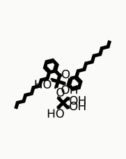 CCCCCCCCCc1ccccc1OC(c1ccccc1CCCCCCCCC)C(CO)(CO)COCC(CO)(CO)CO